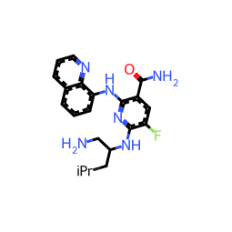 CC(C)CC(CN)Nc1nc(Nc2cccc3cccnc23)c(C(N)=O)cc1F